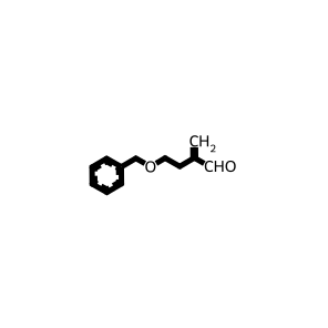 C=C(C=O)CCOCc1ccccc1